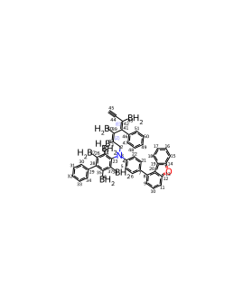 B/C(CN(c1ccc(-c2cccc3oc4ccccc4c23)cc1)c1c(B)c(B)c(-c2ccccc2)c(B)c1B)=C(B)/C(=C(/B)C#C)c1ccccc1